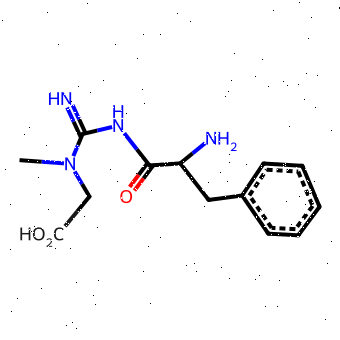 CN(CC(=O)O)C(=N)NC(=O)C(N)Cc1ccccc1